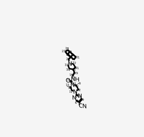 C[C@@H]1CN(c2ncc(C#N)cn2)C[C@H](C)N1C(=O)NCCC1CCN(CC23C4C5C6C4C2C6C53)CC1